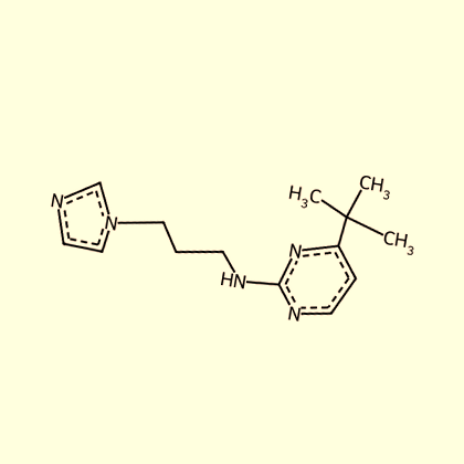 CC(C)(C)c1ccnc(NCCCn2ccnc2)n1